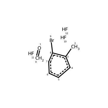 C=O.Cc1ccccc1Br.F.F.F